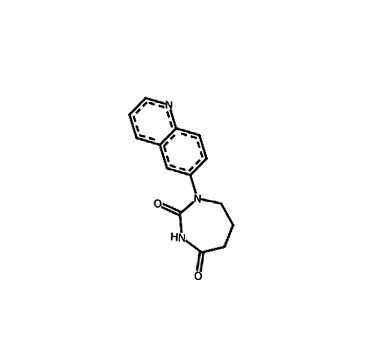 O=C1CCCN(c2ccc3ncccc3c2)C(=O)N1